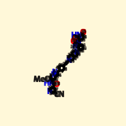 COc1cn2nc(C3CCC(C#CN4CCC5(CC4)CCN(c4cccc6c4n(C)c(=O)n6C4CCC(=O)NC4=O)CC5)CC3)cc2cc1NC(=O)c1cncc(C#N)c1